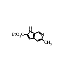 CCOC(=O)c1cc2cc(C)ncc2[nH]1